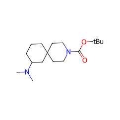 CN(C)C1CCCC2(CCN(C(=O)OC(C)(C)C)CC2)C1